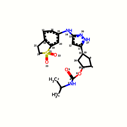 CC(C)NC(=O)O[C@@H]1CC[C@H](c2cc(Nc3ccc4c(c3)S(=O)(=O)CC4)n[nH]2)C1